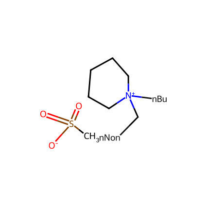 CCCCCCCCCC[N+]1(CCCC)CCCCC1.CS(=O)(=O)[O-]